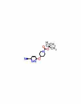 CC(C)(C)OC(=O)N1CCC(Oc2ccc(C#N)nn2)CC1